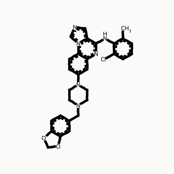 Cc1cccc(Cl)c1Nc1nc2cc(N3CCN(Cc4ccc5c(c4)OCO5)CC3)ccc2n2cncc12